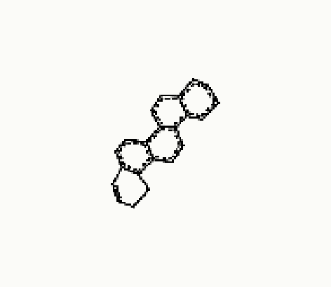 C1=Cc2ccc3c(ccc4c5ccccc5ccc34)c2CC1